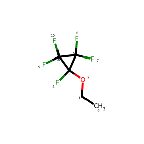 CCOC1(F)C(F)(F)C1(F)F